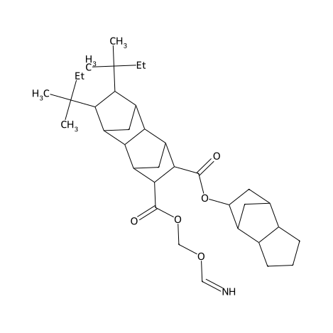 CCC(C)(C)C1C2CC(C3C4CC(C(C(=O)OCOC=N)C4C(=O)OC4CC5CC4C4CCCC54)C23)C1C(C)(C)CC